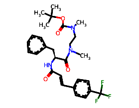 CN(CCN(C)C(=O)[C@H](Cc1ccccc1)NC(=O)/C=C/c1ccc(C(F)(F)F)cc1)C(=O)OC(C)(C)C